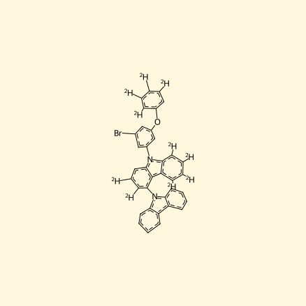 [2H]c1cc(Oc2cc(Br)cc(-n3c4cc([2H])c([2H])c(-n5c6ccccc6c6ccccc65)c4c4c([2H])c([2H])c([2H])c([2H])c43)c2)c([2H])c([2H])c1[2H]